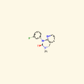 CC(C)N1Cc2cccnc2N(c2cccc(F)c2)C1=O